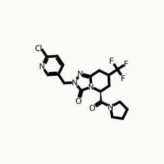 O=C([C@@H]1CC(C(F)(F)F)Cc2nn(Cc3ccc(Cl)nc3)c(=O)n21)N1CCCC1